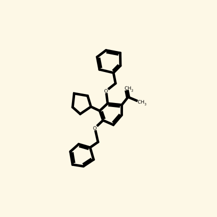 C=C(C)c1ccc(OCc2ccccc2)c(C2CCCC2)c1OCc1ccccc1